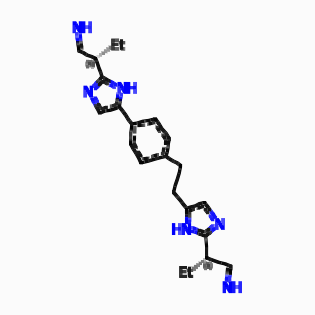 CC[C@@H](C=N)c1ncc(CCc2ccc(-c3cnc([C@H](C=N)CC)[nH]3)cc2)[nH]1